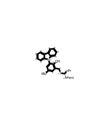 CCCCC[C@@H](CCC)SCc1cc(C(C)(C)C)cc(-n2c3ccccc3c3ccccc32)c1O